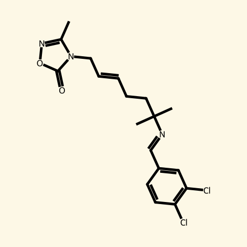 Cc1noc(=O)n1CC=CCCC(C)(C)N=Cc1ccc(Cl)c(Cl)c1